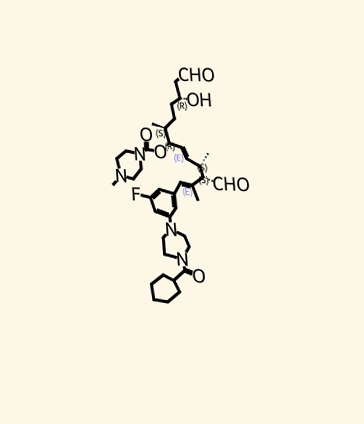 C/C(=C\c1cc(F)cc(N2CCN(C(=O)C3CCCCC3)CC2)c1)[C@@H](C=O)[C@@H](C)/C=C/[C@H](OC(=O)N1CCN(C)CC1)[C@@H](C)CC[C@@H](O)CC=O